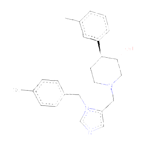 Cc1cccc([C@@H]2CCN(Cc3cncn3Cc3ccc(C#N)cc3)C[C@H]2O)c1